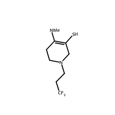 CNC1=C(S)CN(CCC(F)(F)F)CC1